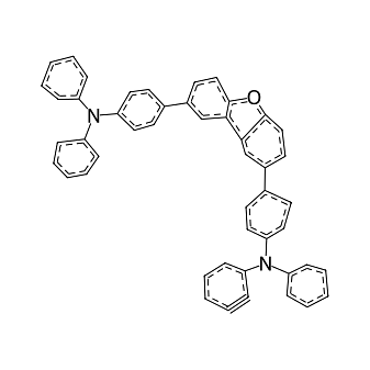 c1cccc(N(c2ccccc2)c2ccc(-c3ccc4oc5ccc(-c6ccc(N(c7ccccc7)c7ccccc7)cc6)cc5c4c3)cc2)c#1